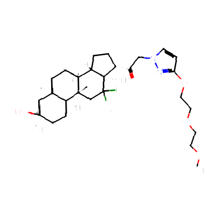 COCCOCCOc1ccn(CC(=O)[C@H]2CC[C@H]3[C@@H]4CC[C@@H]5C[C@](C)(O)CC[C@@H]5[C@H]4CC(F)(F)[C@]23C)n1